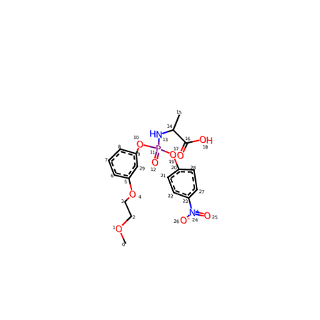 COCCOc1cccc(OP(=O)(NC(C)C(=O)O)Oc2ccc([N+](=O)[O-])cc2)c1